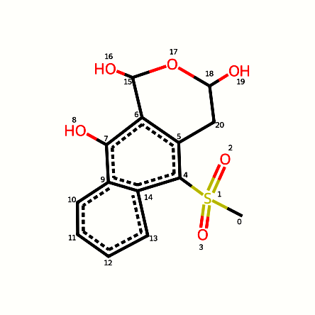 CS(=O)(=O)c1c2c(c(O)c3ccccc13)C(O)OC(O)C2